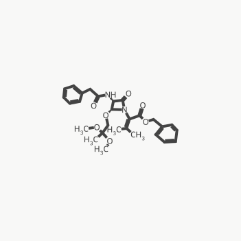 COC(C)(CO[C@H]1[C@@H](NC(=O)Cc2ccccc2)C(=O)N1C(C(=O)OCc1ccccc1)=C(C)C)OC